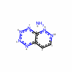 N.c1cc2nnnnc2nn1